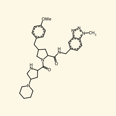 COc1ccc(CC2CC(C(=O)NCc3ccc4c(c3)nnn4C)N(C(=O)C3CC(N4CCCCC4)CN3)C2)cc1